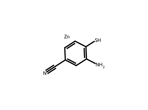 N#Cc1ccc(S)c(N)c1.[Zn]